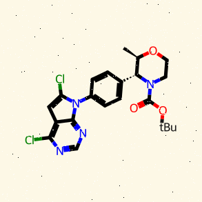 C[C@H]1OCCN(C(=O)OC(C)(C)C)[C@@H]1c1ccc(-n2c(Cl)cc3c(Cl)ncnc32)cc1